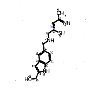 CC(=N)/C=C(\S)CNCc1ccc2[nH]c(CO)cc2c1